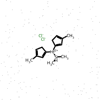 CC1=CC[C]([Hf+2]([C]2=CC(C)=CC2)[SiH](C)C)=C1.[Cl-].[Cl-]